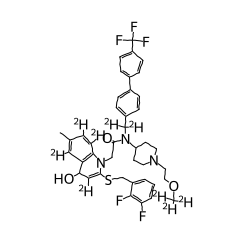 [2H]C1=C(SCc2cccc(F)c2F)N(CC(=O)N(C2CCN(CCOC([2H])([2H])[2H])CC2)C([2H])([2H])c2ccc(-c3ccc(C(F)(F)F)cc3)cc2)c2c([2H])c([2H])c(C)c([2H])c2C1O